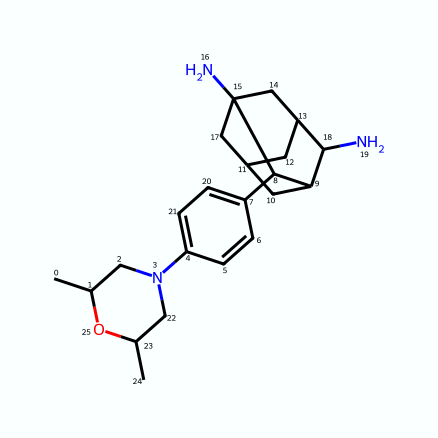 CC1CN(c2ccc(C3C4CC5CC(CC3(N)C5)C4N)cc2)CC(C)O1